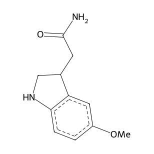 COc1ccc2c(c1)C(CC(N)=O)CN2